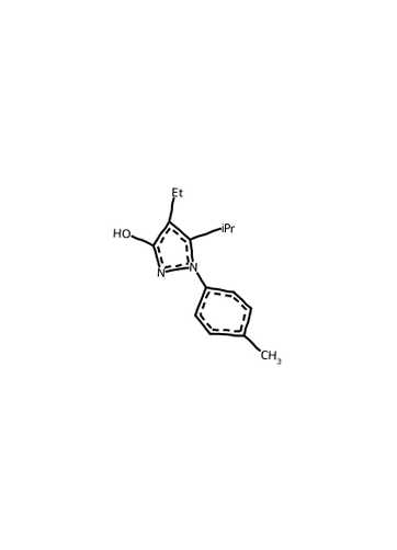 CCc1c(O)nn(-c2ccc(C)cc2)c1C(C)C